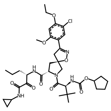 CCC[C@H](NC(=O)[C@@H]1C[C@]2(CC(c3cc(Cl)c(OCC)cc3OC)=NO2)CN1C(=O)[C@@H](NC(=O)OC1CCCC1)C(C)(C)C)C(=O)C(=O)NC1CC1